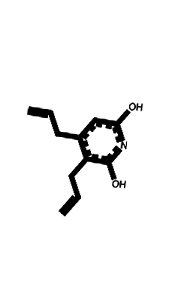 C=CCc1cc(O)nc(O)c1CC=C